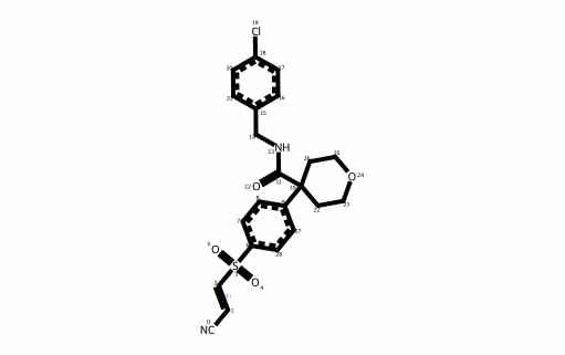 N#C/C=C/S(=O)(=O)c1ccc(C2(C(=O)NCc3ccc(Cl)cc3)CCOCC2)cc1